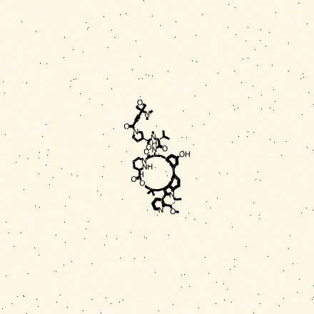 CCn1c(-c2cccnc2[C@H](C)OC)c2c3cc(ccc31)-c1cc(O)cc(c1)C[C@H](NC(=O)[C@H](C(C)C)N(C)C(=O)[C@H]1CCN(C(=O)C#CC3(N(C)C)COC3)C1)C(=O)N1CCC[C@H](N1)C(=O)OCC(C)(C)C2